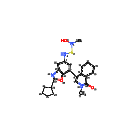 CCN(O)SNc1cc(-c2cn(C)c(=O)c3ccccc23)c2oc(C3CCCC3)nc2c1